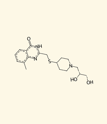 Cc1cccc2c(=O)[nH]c(CSC3CCN(CC(O)CO)CC3)nc12